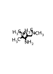 Cc1c(N)c(CN(C)C)nn1C